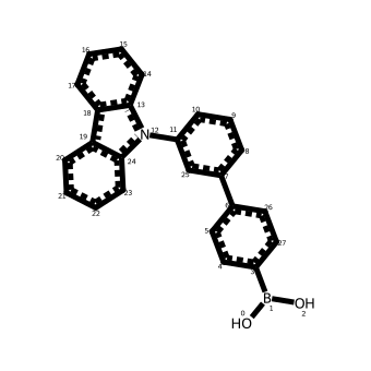 OB(O)c1ccc(-c2cccc(-n3c4ccccc4c4ccccc43)c2)cc1